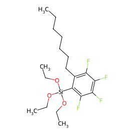 CCCCCCCc1c(F)c(F)c(F)c(F)c1[Si](OCC)(OCC)OCC